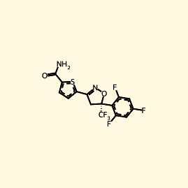 NC(=O)c1ccc(C2=NO[C@](c3c(F)cc(F)cc3F)(C(F)(F)F)C2)s1